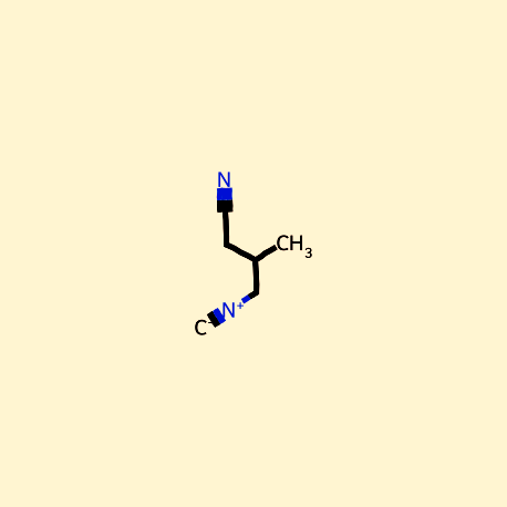 [C-]#[N+]CC(C)CC#N